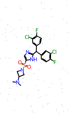 CN(C)C1CN(S(=O)(=O)c2cnc(C(c3ccc(F)c(Cl)c3)c3ccc(F)c(Cl)c3)[nH]2)C1